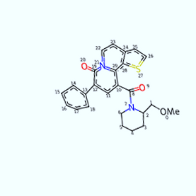 COCC1CCCCN1C(=O)c1cc(-c2ccccc2)c(=O)n2ccc3ccsc3c12